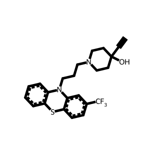 C#CC1(O)CCN(CCCN2c3ccccc3Sc3ccc(C(F)(F)F)cc32)CC1